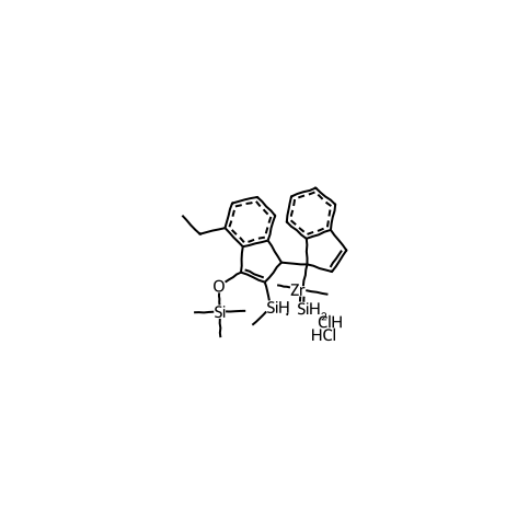 CCc1cccc2c1C(O[Si](C)(C)C)=C([SiH](C)C)C2[C]1([Zr]([CH3])([CH3])=[SiH2])C=Cc2ccccc21.Cl.Cl